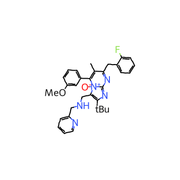 COc1cccc(C2=C(C)C(Cc3ccccc3F)=NC3=NC(C(C)(C)C)=C(CNCc4ccccn4)[N+]32[O-])c1